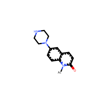 CC(=O)n1c(=O)ccc2cc(N3CCNCC3)ccc21